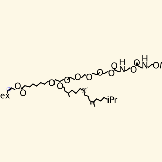 CCCCCC/C=C\COC(=O)CCCCCCCOCC(COCCOCCOCCOCCOC(=O)CNCCOC(=O)CNCCOC)OCCC(C)CCC[C@H](C)CCC[C@H](C)CCCC(C)C